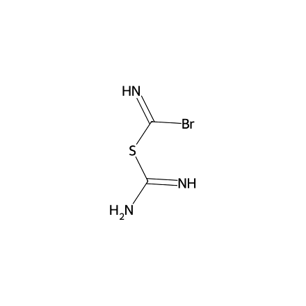 N=C(N)SC(=N)Br